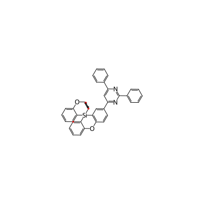 c1ccc(-c2cc(-c3ccc4c(c3)[Si]3(c5ccccc5Oc5ccccc53)c3ccccc3O4)nc(-c3ccccc3)n2)cc1